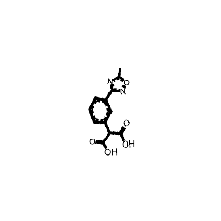 Cc1nc(-c2cccc(C(C(=O)O)C(=O)O)c2)no1